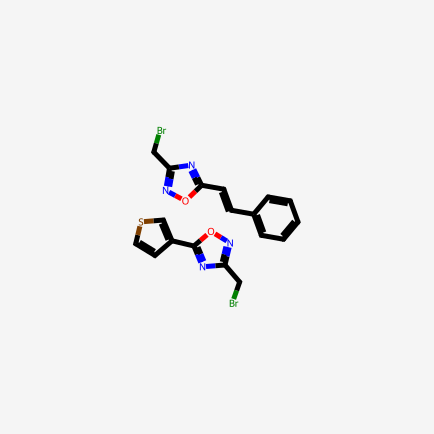 BrCc1noc(-c2ccsc2)n1.BrCc1noc(C=Cc2ccccc2)n1